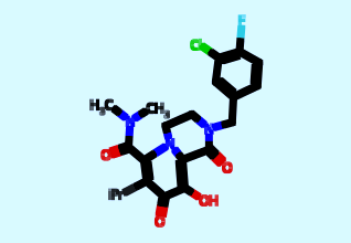 CC(C)c1c(C(=O)N(C)C)n2c(c(O)c1=O)C(=O)N(Cc1ccc(F)c(Cl)c1)CC2